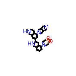 CN1CC2CN(c3cc(C4Cc5c(cccc5N5CCS(=O)(=O)CC5)CN4)cc4c3CCNC4)CC2C1